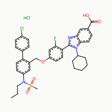 CCCN(c1ccc(-c2ccc(Cl)cc2)c(COc2ccc(-c3nc4cc(C(=O)O)ccc4n3C3CCCCC3)c(F)c2)c1)S(C)(=O)=O.Cl